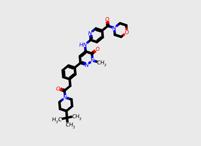 Cn1nc(-c2cccc(CC(=O)N3CCC(C(C)(C)C)CC3)c2)cc(Nc2ccc(C(=O)N3CCOCC3)cn2)c1=O